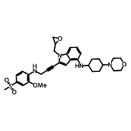 COc1cc(S(C)(=O)=O)ccc1NCC#Cc1cc2c(NC3CCC(N4CCOCC4)CC3)cccc2n1CC1CO1